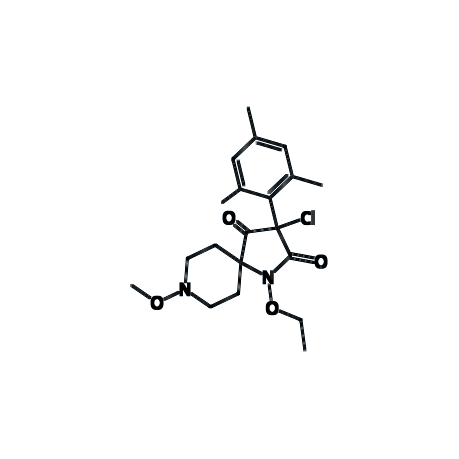 CCON1C(=O)C(Cl)(c2c(C)cc(C)cc2C)C(=O)C12CCN(OC)CC2